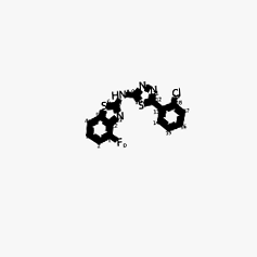 Fc1cccc2sc(Nc3nnc(-c4ccccc4Cl)s3)nc12